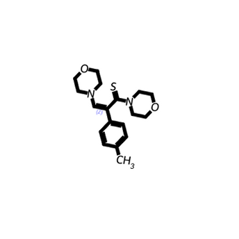 Cc1ccc(/C(=C/N2CCOCC2)C(=S)N2CCOCC2)cc1